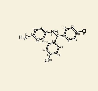 Cc1ccc(NC(c2ccc(Cl)cc2)c2ccc(Cl)cc2)cc1